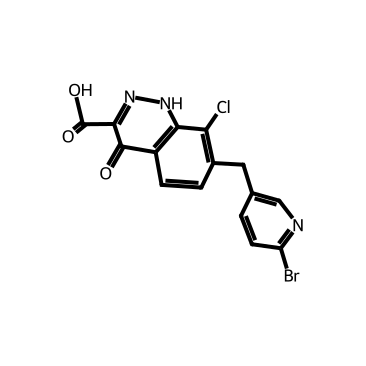 O=C(O)c1n[nH]c2c(Cl)c(Cc3ccc(Br)nc3)ccc2c1=O